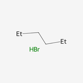 Br.CCCCCC